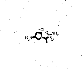 CC(N1CCC(N)C1)S(N)(=O)=O.Cl